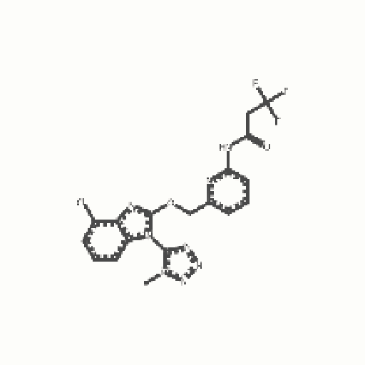 Cn1nnnc1-n1c(OCc2cccc(NC(=O)CC(F)(F)F)n2)nc2c(Cl)cccc21